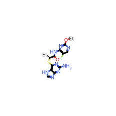 CCOc1ncc(F)c(NC(=O)[C@H](CC)Sc2nc(N)nc3nc[nH]c23)n1